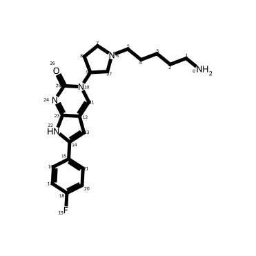 NCCCCCN1CCC(n2cc3cc(-c4ccc(F)cc4)[nH]c3nc2=O)C1